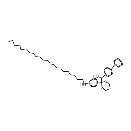 CCCCCCCCCCCCCCCCCCCCCCNc1ccc(C2(C(O)c3ccc(-c4ccccc4)cc3)SCCCS2)cc1